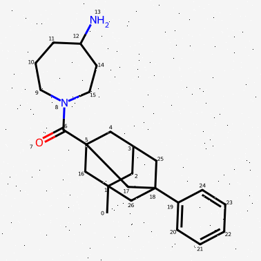 CC12CC3CC(C(=O)N4CCCC(N)CC4)(C1)CC(c1ccccc1)(C3)C2